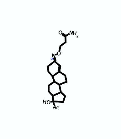 CC(=O)C1(O)CCC2C3CCC4=C/C(=N\OCCC(N)=O)CCC4C3CCC21